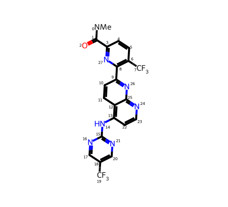 CNC(=O)c1ccc(C(F)(F)F)c(-c2ccc3c(Nc4ncc(C(F)(F)F)cn4)ccnc3n2)n1